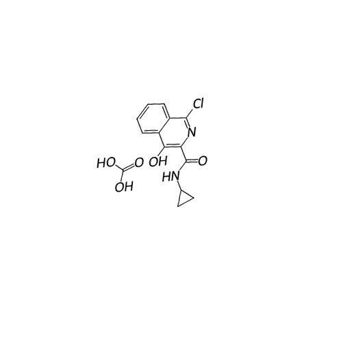 O=C(NC1CC1)c1nc(Cl)c2ccccc2c1O.O=C(O)O